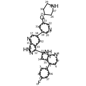 Fc1ccc(-c2ccnc3[nH]c(-c4n[nH]c5ncc(-c6cncc(OC7CCNCC7)c6)cc45)cc23)cc1